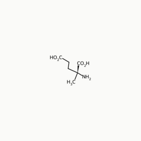 C[C@@](N)(CCC(=O)O)C(=O)O